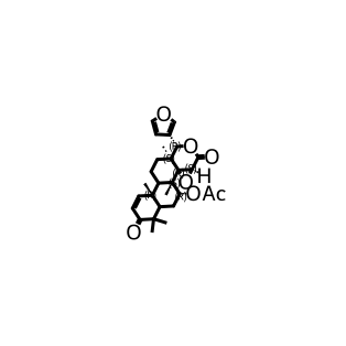 CC(=O)O[C@@H]1CC2C(C)(C)C(=O)C=C[C@]2(C)C2CC[C@@]3(C)[C@H](c4ccoc4)OC(=O)[C@H]4O[C@]43[C@@]21C